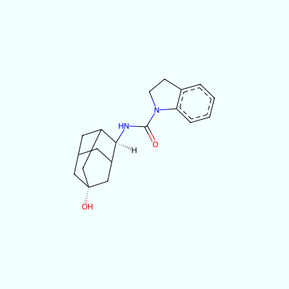 O=C(N[C@H]1C2CC3CC1C[C@](O)(C3)C2)N1CCc2ccccc21